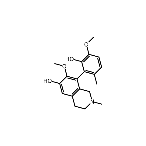 COc1ccc(C)c(-c2c3c(cc(O)c2OC)CCN(C)C3)c1O